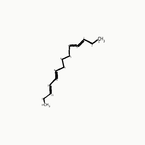 CCC=C=CCCCC=CC=CCC